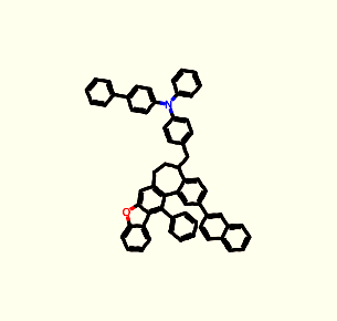 c1ccc(-c2ccc(N(c3ccccc3)c3ccc(CC4CCc5cc6oc7ccccc7c6c(-c6ccccc6)c5-c5cc(-c6ccc7ccccc7c6)ccc54)cc3)cc2)cc1